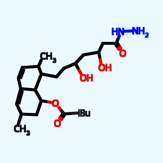 CCC(C)C(=O)OC1CC(C)C=C2C=CC(C)C(CCC(O)CC(O)CC(=O)NN)C21